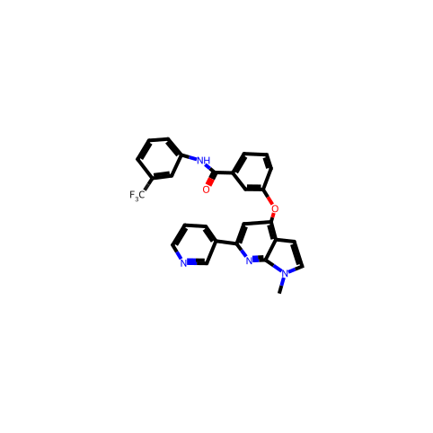 Cn1ccc2c(Oc3cccc(C(=O)Nc4cccc(C(F)(F)F)c4)c3)cc(-c3cccnc3)nc21